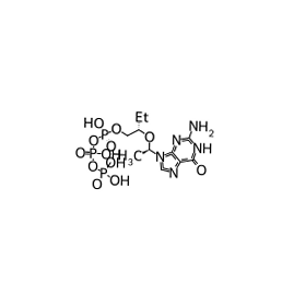 CC[C@@H](COP(=O)(O)OP(=O)(O)OP(=O)(O)O)O[C@H](C)n1cnc2c(=O)[nH]c(N)nc21